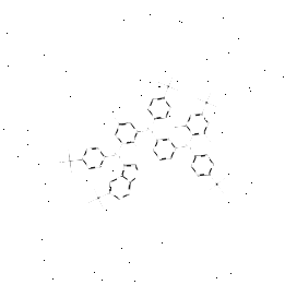 Cc1cc(N(c2ccc(C(C)(C)C)cc2)c2cccc(N(c3ccc(C(C)(C)C)cc3)c3c(C)cc(C(C)(C)C)cc3C)c2)c(Cl)c(N(c2ccc(C(C)(C)C)cc2)c2csc3ccc(C(C)(C)C)cc23)c1